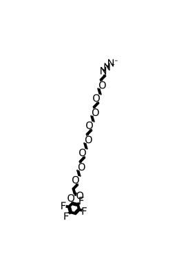 [N-]=[N+]=NCCOCCOCCOCCOCCOCCOCCOCCOCCC(=O)Oc1c(F)c(F)cc(F)c1F